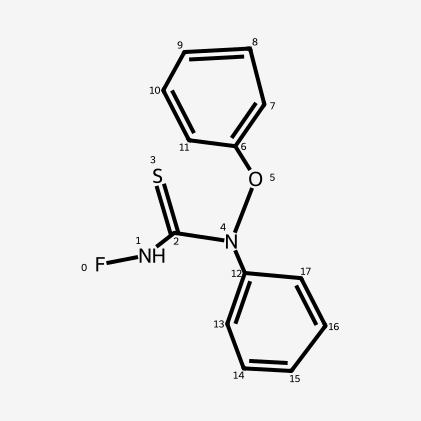 FNC(=S)N(Oc1ccccc1)c1ccccc1